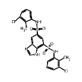 Cc1c(Cl)cccc1NS(=O)(=O)c1cc(S(=O)(=O)Nc2cccc(Cl)c2C)c2[nH]cnc2c1